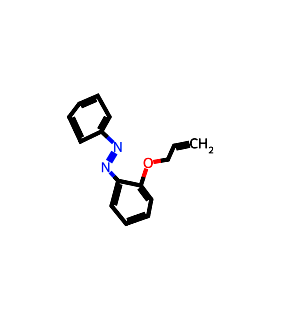 C=CCOc1ccccc1N=Nc1ccccc1